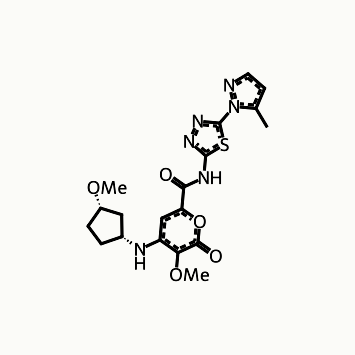 COc1c(N[C@@H]2CC[C@H](OC)C2)cc(C(=O)Nc2nnc(-n3nccc3C)s2)oc1=O